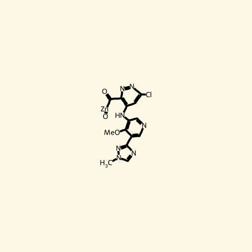 COc1c(Nc2cc(Cl)nnc2[C](=O)[Zn]=[O])cncc1-c1ncn(C)n1